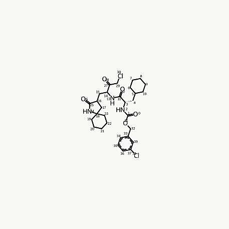 O=C(N[C@@H](CC1CCCCC1)C(=O)NC(CC1CC2(CCCCC2)NC1=O)C(=O)CCl)OCc1cccc(Cl)c1